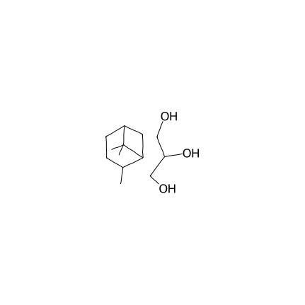 CC1CCC2CC1C2(C)C.OCC(O)CO